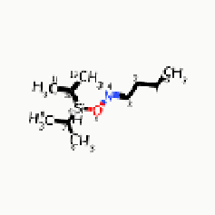 CCCC=NO[SiH](C(C)C)C(C)C